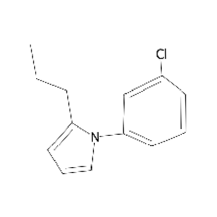 CCCc1cccn1-c1cccc(Cl)c1